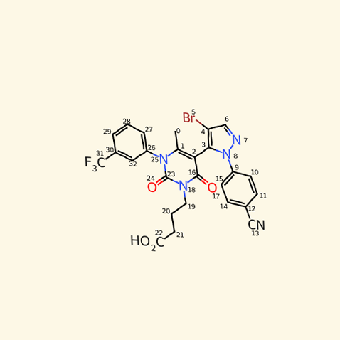 Cc1c(-c2c(Br)cnn2-c2ccc(C#N)cc2)c(=O)n(CCCC(=O)O)c(=O)n1-c1cccc(C(F)(F)F)c1